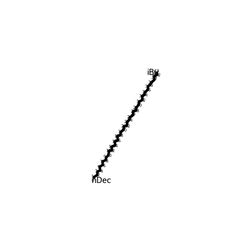 CCCCCCCCCCCCCCCCCCCCCCCCCCCCCCCCCCCCCCCCCCCCCCCCCCCCC(C)CC